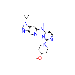 COC1CCN(c2nccc(Nc3cc4c(cn3)ncn4C3CC3)n2)CC1